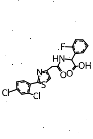 O=C(Cc1csc(-c2ccc(Cl)cc2Cl)n1)NC(C(=O)O)c1ccccc1F